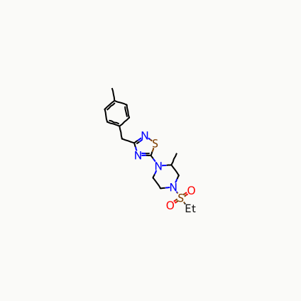 CCS(=O)(=O)N1CCN(c2nc(Cc3ccc(C)cc3)ns2)C(C)C1